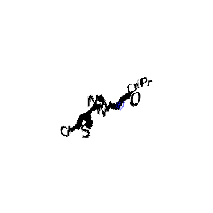 CC(C)OC(=O)/C=C/n1cnc(-c2csc(Cl)c2)n1